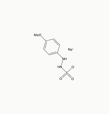 COc1ccc(NNS(=O)(=O)[O-])cc1.[Na+]